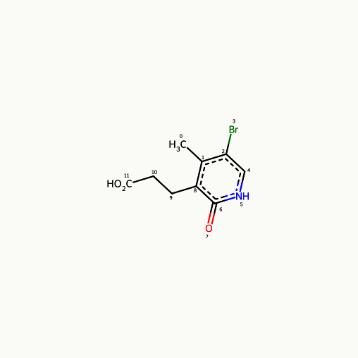 Cc1c(Br)c[nH]c(=O)c1CCC(=O)O